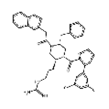 N=C(N)NCCC[C@H]1CN(C(=O)Cc2ccc3ccccc3c2)[C@H](Cc2ccccc2)CN1C(=O)c1ccccc1-c1cc(Cl)cc(Cl)c1